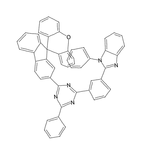 c1ccc(-c2nc(-c3cccc(-c4nc5ccccc5n4-c4ccccc4)c3)nc(-c3ccc4c(c3)C3(c5ccccc5Oc5ccccc53)c3ccccc3-4)n2)cc1